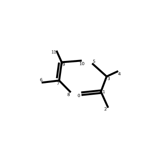 C=C(C)C(C)C.CC(C)=C(C)C